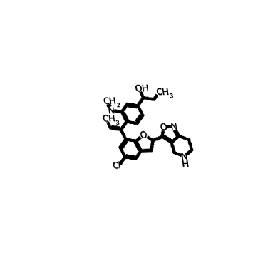 C=Nc1cc(C(O)CC)ccc1/C(=C\C)c1cc(Cl)cc2c1OC(c1onc3c1CNCC3)C2